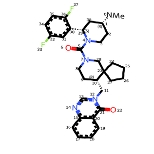 CN[C@@H]1CCN(C(=O)N2CC[C@@H](Cn3cnc4ccccc4c3=O)C3(CCCC3)C2)[C@H](c2cc(F)ccc2F)C1